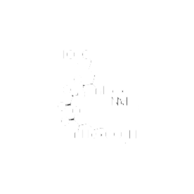 CCCCCCC(CCCC(=O)O)C(=O)OC(=O)C(=O)OC(=O)C(CCCCCC)CCCC(=O)O.N.N